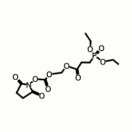 CCOP(=O)(CCC(=O)OCOC(=O)ON1C(=O)CCC1=O)OCC